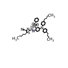 CCCCCc1sc(/N=N/c2ccc(N(c3ccc(CCCC)cc3)c3ccc(CCCC)cc3)cc2NS(=O)(=O)c2ccccc2)nc1C#N